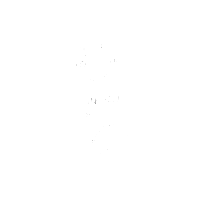 SN(Cc1ccccc1)CC1CCC=CO1